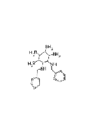 BC1C(B)C(B)C(NCc2ccccc2)C(NCc2ccccc2)C1B